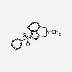 CN1Cc2cccc3c2c(cn3S(=O)(=O)c2ccccc2)C1